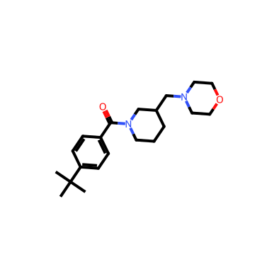 CC(C)(C)c1ccc(C(=O)N2CCCC(CN3CCOCC3)C2)cc1